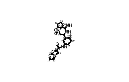 N=C1NC(c2cc(NC(=O)c3cn4ccsc4n3)ccc2F)CS(=O)(=O)C12CCCC2